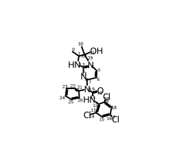 CC(Nc1nccc(N(C(=O)Nc2c(Cl)cc(Cl)cc2Cl)c2ccccc2)n1)C(C)(C)O